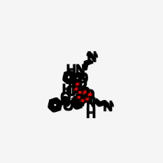 CN(C)CCCNC(=O)C1C2CCC(C(OC(=O)c3ccccc3)C2)C1C(=O)NC(=O)C1C2CCC(CC2OC(=O)c2ccccc2)C1C(=O)NCCCN(C)C